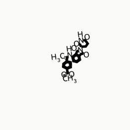 COC(=O)c1ccc([C@H](C)Nc2cccc3c2C(=O)N(C2CCC(=O)NC2=O)C3=O)cc1